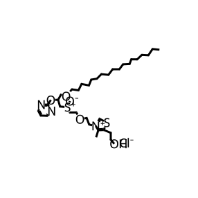 CCCCCCCCCCCCCCCCCCOCC(C[S+]([O-])CCOCC[n+]1csc(CCO)c1C)Oc1ncccn1.[Cl-]